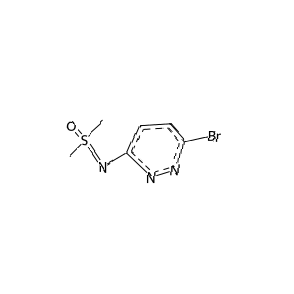 CS(C)(=O)=Nc1ccc(Br)nn1